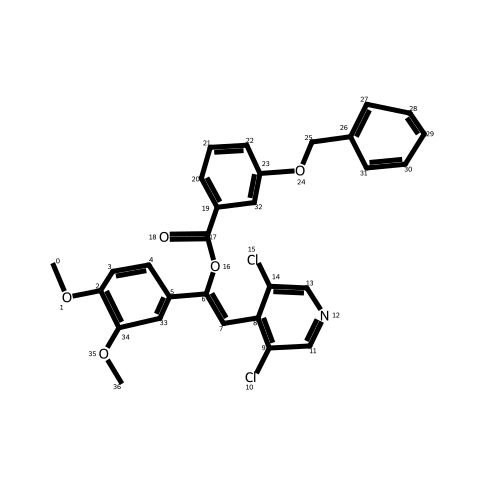 COc1ccc(C(=Cc2c(Cl)cncc2Cl)OC(=O)c2cccc(OCc3ccccc3)c2)cc1OC